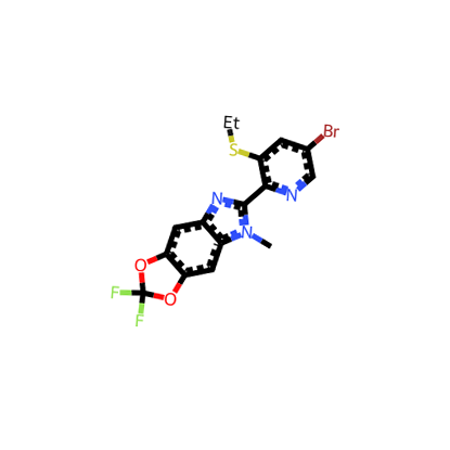 CCSc1cc(Br)cnc1-c1nc2cc3c(cc2n1C)OC(F)(F)O3